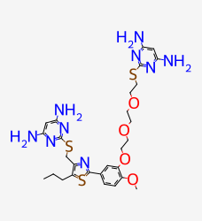 CCCc1sc(-c2ccc(OC)c(OCCOCCOCCSc3nc(N)cc(N)n3)c2)nc1CSc1nc(N)cc(N)n1